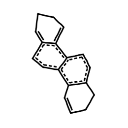 C1=Cc2c(ccc3c4c(ccc23)=CCCC=4)CC1